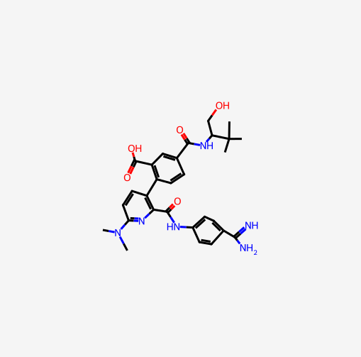 CN(C)c1ccc(-c2ccc(C(=O)NC(CO)C(C)(C)C)cc2C(=O)O)c(C(=O)Nc2ccc(C(=N)N)cc2)n1